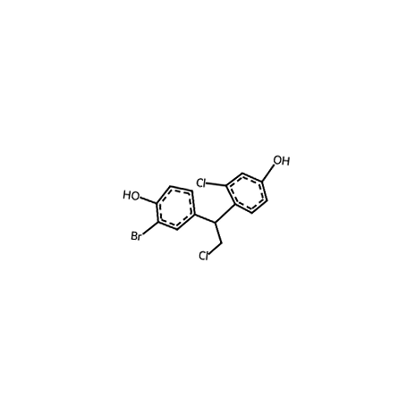 Oc1ccc(C(CCl)c2ccc(O)c(Br)c2)c(Cl)c1